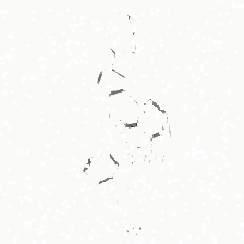 CCC(CC)(Nc1nccn(-c2cc(C(=O)NC3CC3)ccc2C)c1=O)c1ccccc1OCCNC